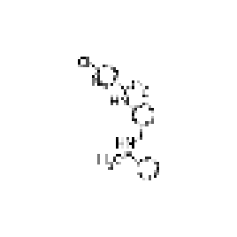 C[C@@H](NCc1ccc(Cl)c(NC(=O)c2ccc(Cl)nc2)c1)c1ccccc1